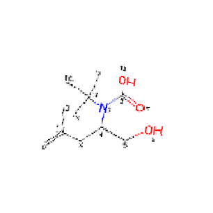 C=C(C)CC(CO)N(C(=O)O)C(C)(C)C